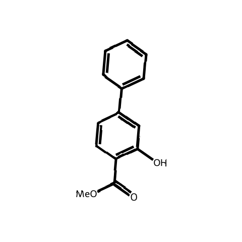 COC(=O)c1ccc(-c2ccccc2)cc1O